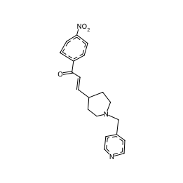 O=C(C=CC1CCN(Cc2ccncc2)CC1)c1ccc([N+](=O)[O-])cc1